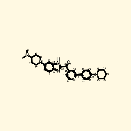 CN(C)C1CCN(c2ccc3nc(C(=O)c4ccnc(-c5ccc(N6CCCCC6)cc5)c4)[nH]c3c2)CC1